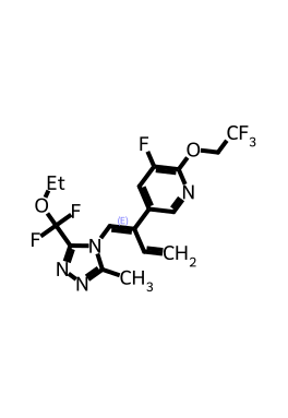 C=C/C(=C\n1c(C)nnc1C(F)(F)OCC)c1cnc(OCC(F)(F)F)c(F)c1